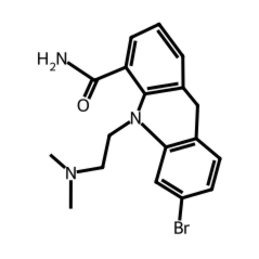 CN(C)CCN1c2cc(Br)ccc2Cc2cccc(C(N)=O)c21